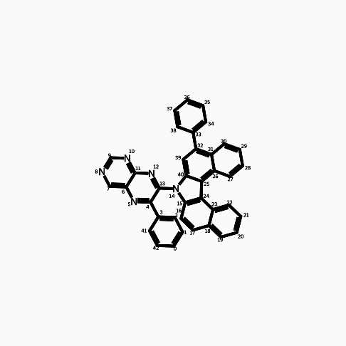 c1ccc(-c2nc3cncnc3nc2-n2c3ccc4ccccc4c3c3c4ccccc4c(-c4ccccc4)cc32)cc1